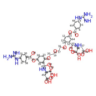 N=C(N)Nc1ccc(C(=O)Oc2ccc(OCCOCCOc3ccc(OC(=O)c4ccc(NC(=N)N)cc4)cc3C(=O)N[C@H](CC(=O)O)C(=O)O)c(C(=O)N[C@H](CC(=O)O)C(=O)O)c2)cc1